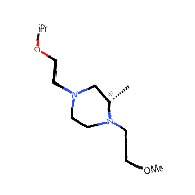 COCCN1CCN(CCOC(C)C)C[C@@H]1C